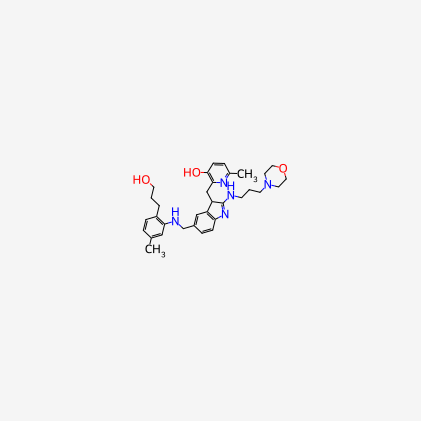 Cc1ccc(CCCO)c(NCc2ccc3c(c2)C(Cc2nc(C)ccc2O)C(NCCCN2CCOCC2)=N3)c1